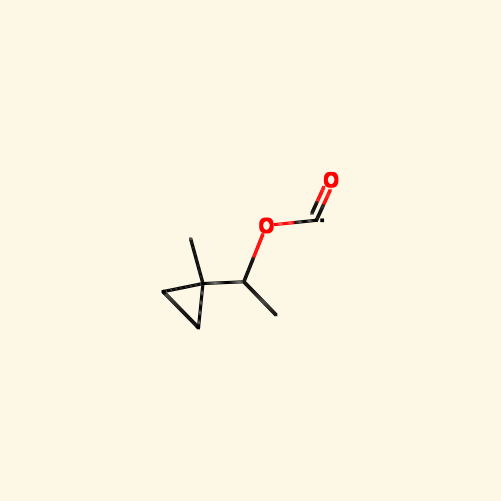 CC(O[C]=O)C1(C)CC1